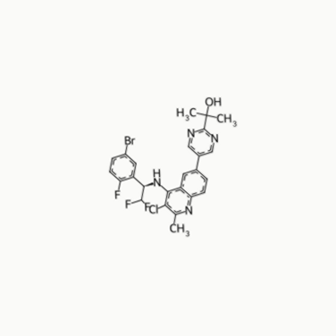 Cc1nc2ccc(-c3cnc(C(C)(C)O)nc3)cc2c(N[C@H](c2cc(Br)ccc2F)C(F)F)c1Cl